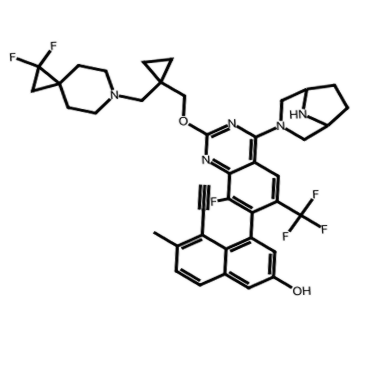 C#Cc1c(C)ccc2cc(O)cc(-c3c(C(F)(F)F)cc4c(N5CC6CCC(C5)N6)nc(OCC5(CN6CCC7(CC6)CC7(F)F)CC5)nc4c3F)c12